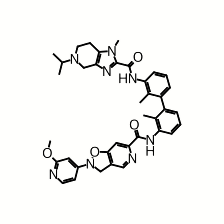 COc1cc(N2Cc3cnc(C(=O)Nc4cccc(-c5cccc(NC(=O)c6nc7c(n6C)CCN(C(C)C)C7)c5C)c4C)cc3O2)ccn1